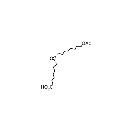 CC(=O)OCCCCCCCC[C@H]1O[C@H]1CCCCCCCC(=O)O